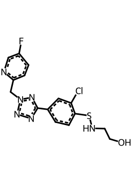 OCCNSc1ccc(-c2nnn(Cc3ccc(F)cn3)n2)cc1Cl